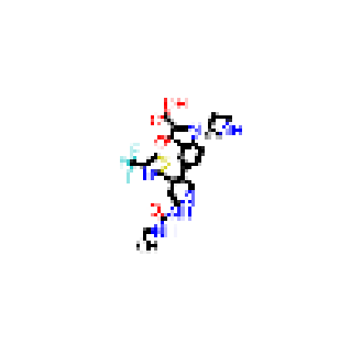 CCNC(=O)Nc1cc(-c2nc(C(F)(F)F)cs2)c(-c2ccc3c(c2)c(=O)c(C(=O)O)cn3[C@@H]2CCNC2)cn1